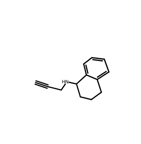 C#CCNC1CCCc2ccccc21